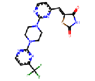 O=C1NC(=O)C(=Cc2ccnc(N3CCN(c4nccc(C(F)(F)F)n4)CC3)n2)S1